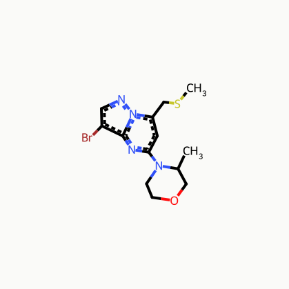 CSCc1cc(N2CCOCC2C)nc2c(Br)cnn12